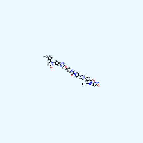 Cc1nn(C2CCC(=O)NC2=O)c(=O)c2ccc(N3CCN(C4CCN(C(=O)CN5CCC(COc6cnc(-c7cccc(Cn8nc(-c9cccc(C#N)c9)ccc8=O)c7)nc6)CC5)CC4)CC3)cc12